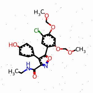 CCNC(=O)c1noc(-c2cc(Cl)c(OCOC)cc2OCOC)c1-c1ccc(O)cc1